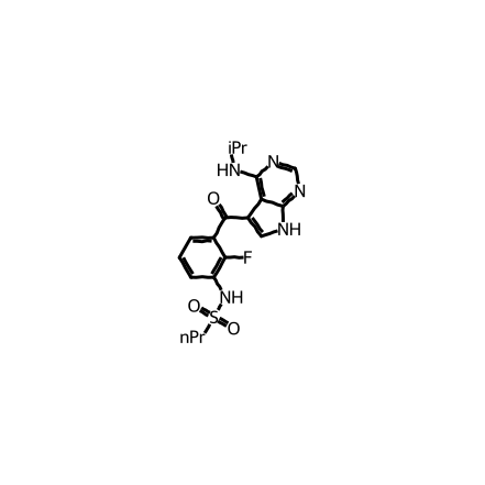 CCCS(=O)(=O)Nc1cccc(C(=O)c2c[nH]c3ncnc(NC(C)C)c23)c1F